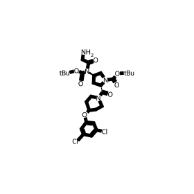 CC(C)(C)OC(=O)N1C[C@H](N(C(=O)CN)C(=O)OC(C)(C)C)C[C@H]1C(=O)N1CCC(Oc2cc(Cl)cc(Cl)c2)CC1